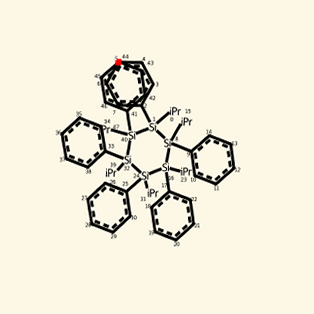 CC(C)[Si]1(c2ccccc2)[Si](c2ccccc2)(C(C)C)[Si](c2ccccc2)(C(C)C)[Si](c2ccccc2)(C(C)C)[Si](c2ccccc2)(C(C)C)[Si]1(c1ccccc1)C(C)C